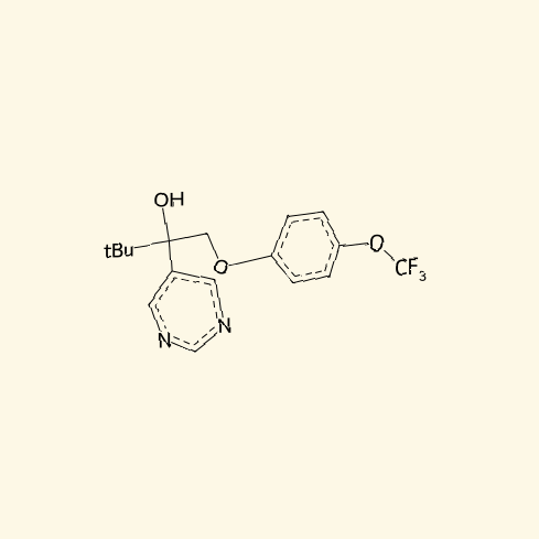 CC(C)(C)C(O)(COc1ccc(OC(F)(F)F)cc1)c1cncnc1